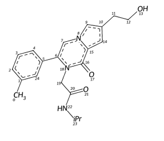 Cc1cccc(-c2cn3cc(CCO)cc3c(=O)n2CC(=O)NC(C)C)c1